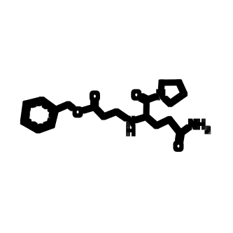 NC(=O)CCC(NCCC(=O)OCc1ccccc1)C(=O)N1CCCC1